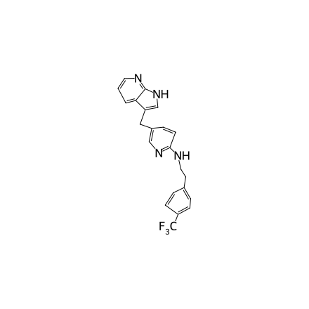 FC(F)(F)c1ccc(CCNc2ccc(Cc3c[nH]c4ncccc34)cn2)cc1